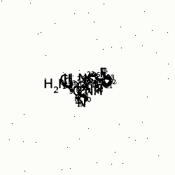 NCC(CCl)COc1sncc1NC(=O)c1nc(-c2c(F)cccc2F)ccc1N